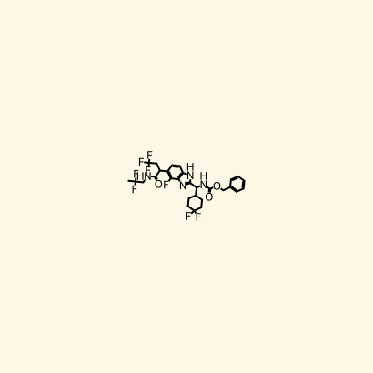 CC(F)(F)CNC(=O)C(CC(F)(F)F)c1ccc2[nH]c(C(NC(=O)OCc3ccccc3)C3CCC(F)(F)CC3)nc2c1F